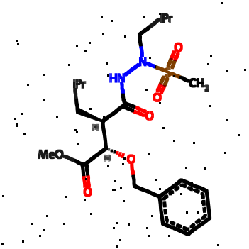 COC(=O)[C@@H](OCc1ccccc1)[C@@H](CC(C)C)C(=O)NN(CC(C)C)S(C)(=O)=O